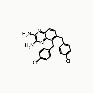 Nc1nc2ccc(Cc3ccc(Cl)cc3)c(Cc3ccc(Cl)cc3)c2nc1N